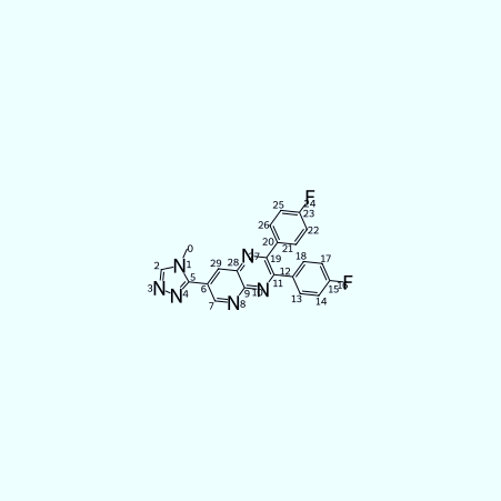 Cn1cnnc1-c1cnc2nc(-c3ccc(F)cc3)c(-c3ccc(F)cc3)nc2c1